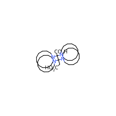 O=C(O)CC(N1CCCCCCCCCCC1)(N1CCCCCCCCCCC1)C(C(=O)O)(N1CCCCCCCCCCC1)N1CCCCCCCCCCC1